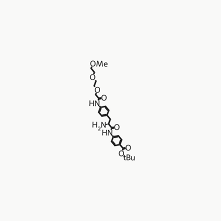 COCCOCCOCC(=O)Nc1ccc(C[C@H](N)C(=O)Nc2ccc(C(=O)OC(C)(C)C)cc2)cc1